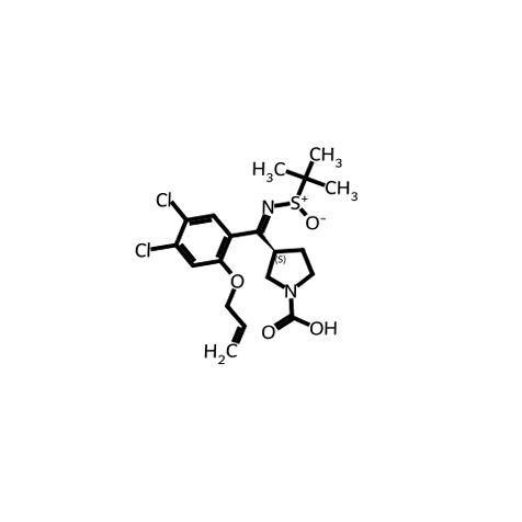 C=CCOc1cc(Cl)c(Cl)cc1C(=N[S+]([O-])C(C)(C)C)[C@H]1CCN(C(=O)O)C1